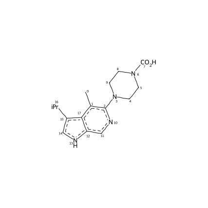 Cc1c(N2CCN(C(=O)O)CC2)ncc2[nH]cc(C(C)C)c12